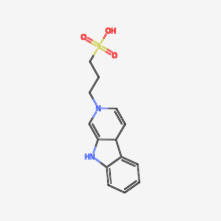 O=S(=O)(O)CCCN1C=CC2C(=C1)Nc1ccccc12